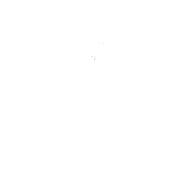 O=C(O)CCCCOc1ccc2c(c1)CCC(=O)N2Cc1ccccc1